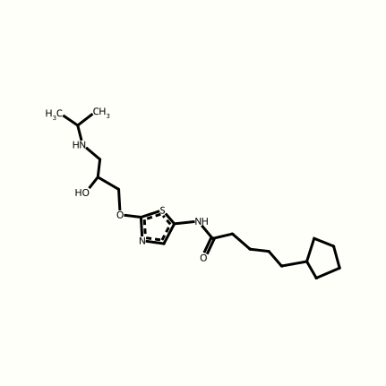 CC(C)NCC(O)COc1ncc(NC(=O)CCCCC2CCCC2)s1